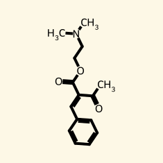 CC(=O)/C(=C\c1ccccc1)C(=O)OCCN(C)C